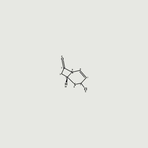 O=C1C[C@H]2SC(Cl)C=CN12